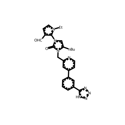 CCCCc1cn(-c2c(C=O)ccn2CC)c(=O)n1Cc1cc(-c2cccc(-c3nnn[nH]3)c2)ccn1